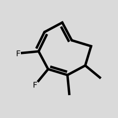 C/C1=C(F)/C(F)=C\C=C\CC1C